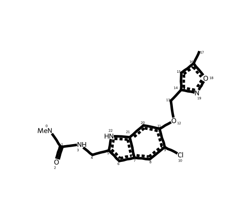 CNC(=O)NCc1cc2cc(Cl)c(OCc3cc(C)on3)cc2[nH]1